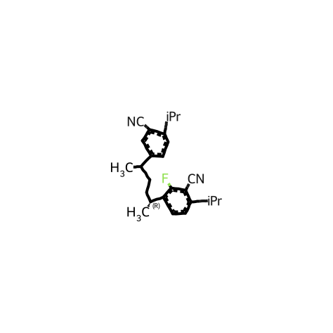 CC(C)c1ccc(C(C)CC[C@@H](C)c2ccc(C(C)C)c(C#N)c2F)cc1C#N